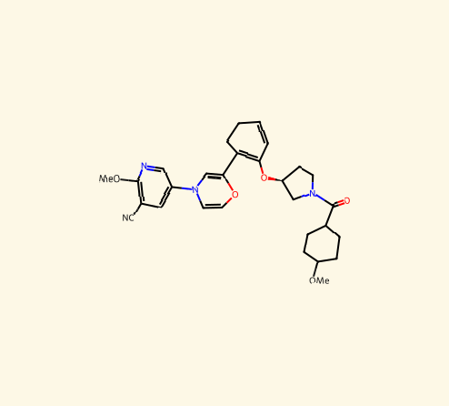 COc1ncc(N2C=COC(C3=C(O[C@H]4CCN(C(=O)C5CCC(OC)CC5)C4)C=CCC3)=C2)cc1C#N